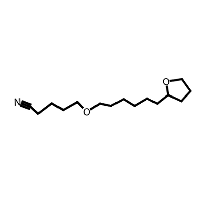 N#CCCCCOCCCCCCC1CCCO1